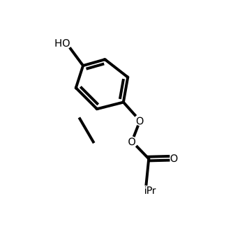 CC.CC(C)C(=O)OOc1ccc(O)cc1